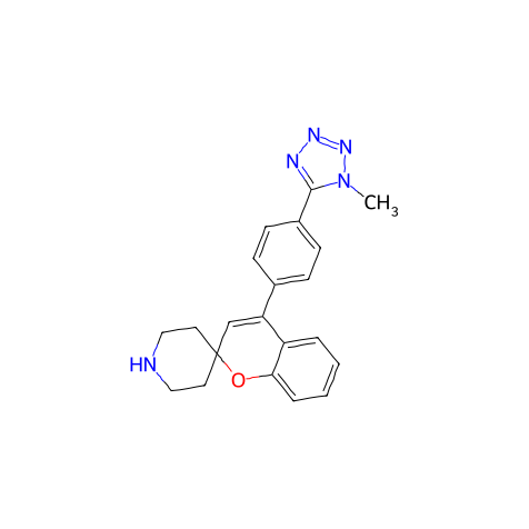 Cn1nnnc1-c1ccc(C2=CC3(CCNCC3)Oc3ccccc32)cc1